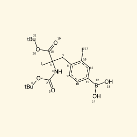 CC(C)(C)OC(=O)NC(C)(Cc1ccc(B(O)O)cc1F)C(=O)OC(C)(C)C